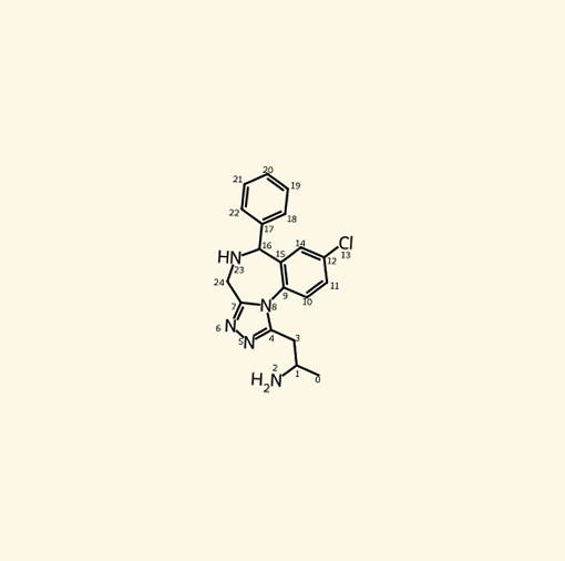 CC(N)Cc1nnc2n1-c1ccc(Cl)cc1C(c1ccccc1)NC2